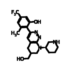 Cc1cc(C(F)(F)F)cc(O)c1-c1cc2c(nn1)N([C@@H]1CCCNC1)CC(CO)C2